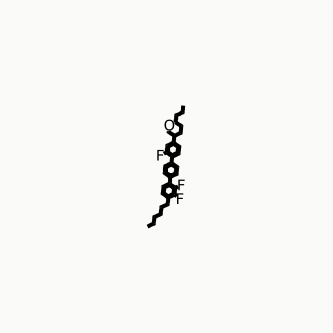 CCCCCCc1ccc(-c2ccc(-c3ccc(C4CCC(CCC)OC4)cc3F)cc2)c(F)c1F